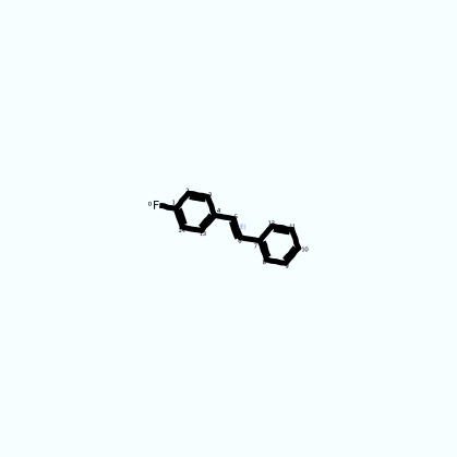 Fc1ccc(/C=C/c2ccccc2)cc1